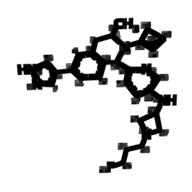 CC1Cc2cc(-c3cn[nH]c3)ccc2C(c2ccc(NC3CN(CCCF)C3)cn2)N1C12CC(C1)C2